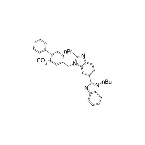 CCCCn1c(-c2ccc3nc(CCC)n(Cc4ccc(-c5ccccc5C(=O)O)cc4)c3c2)nc2ccccc21